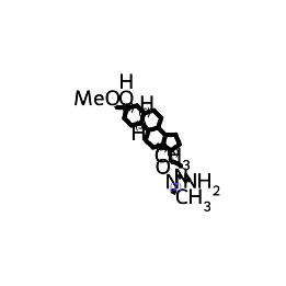 C/C=N\N(N)CC(=O)[C@H]1CCC2C3CC[C@H]4C[C@@](O)(COC)CC[C@@H]4C3CC[C@@]21C